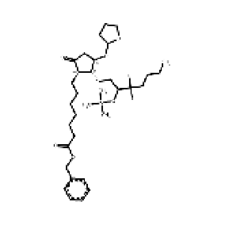 CCCCC(F)(F)C(CC[C@H]1[C@H](OC2CCCO2)CC(=O)[C@@H]1CCCCCCC(=O)OCc1ccccc1)O[Si](C)(C)C